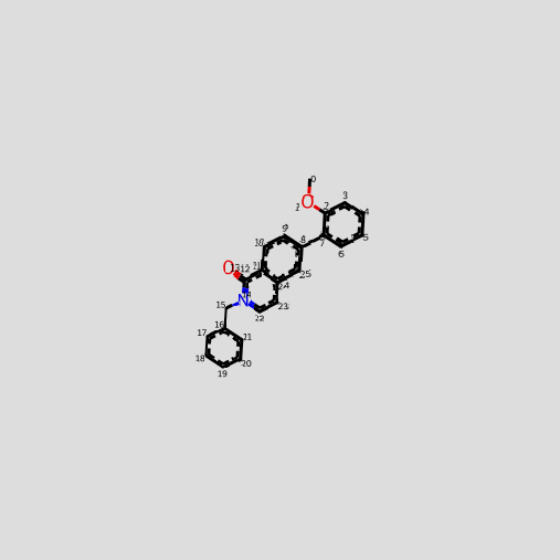 COc1ccccc1-c1ccc2c(=O)n(Cc3ccccc3)ccc2c1